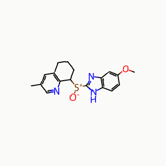 COc1ccc2[nH]c([S+]([O-])C3CCCc4cc(C)cnc43)nc2c1